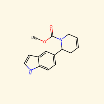 CC(C)(C)OC(=O)N1CC=CCC1c1ccc2[nH]ccc2c1